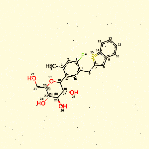 Cc1cc(F)c(Cc2cc3ccccc3s2)cc1C1O[C@H](CO)[C@@H](O)[C@H](O)[C@H]1O